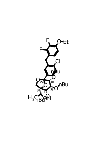 CCCCO[C@@H]1[C@@H](OCCCC)[C@@]2(c3ccc(Cl)c(Cc4ccc(OCC)c(F)c4F)c3)OC[C@](C(C)O)(O2)[C@H]1OCCCC